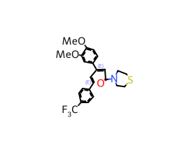 COc1ccc(C(/C=C/c2ccc(C(F)(F)F)cc2)=C/C(=O)N2CCSCC2)cc1OC